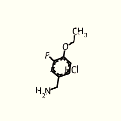 CCOc1ccc(CN)cc1F.Cl